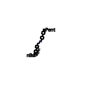 CCCCCC1CCC(C2CCC(/C=C/CCc3ccc(-c4ccc(OCCCC)c(F)c4F)cc3)CC2)CC1